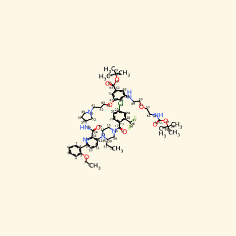 CCOc1ccccc1-c1ccc(N2CCN(C(=O)c3ccc(Cl)cc3C(F)F)C[C@H]2CC)c(C(=O)N[C@@H]2CCN(CCCOc3cc(NCCOCCNC(=O)OC(C)(C)C)cc(C(=O)OC(C)(C)C)c3)C2)n1